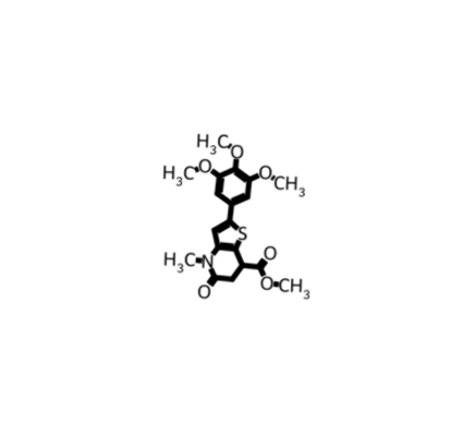 COC(=O)C1CC(=O)N(C)c2cc(-c3cc(OC)c(OC)c(OC)c3)sc21